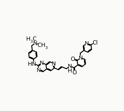 CN(C)Cc1ccc(Nc2ncc3cc(/C=C/CNC(=O)c4cccn(Cc5ccc(Cl)nc5)c4=O)ncc3n2)cc1